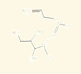 C=CCO[N+](=O)[O-].O=[N+]([O-])C(O)C(O)CO